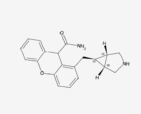 NC(=O)C1c2ccccc2Oc2cccc(C[C@H]3[C@@H]4CNC[C@@H]43)c21